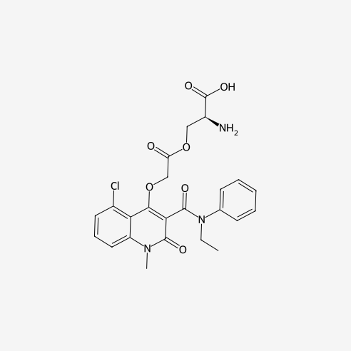 CCN(C(=O)c1c(OCC(=O)OC[C@H](N)C(=O)O)c2c(Cl)cccc2n(C)c1=O)c1ccccc1